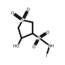 O=S1(=O)CC(O)C(S(=O)(=O)NI)C1